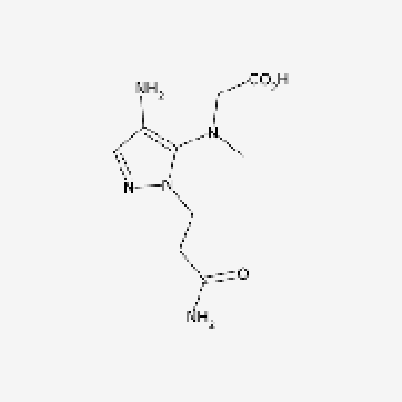 CN(CC(=O)O)c1c(N)cnn1CCC(N)=O